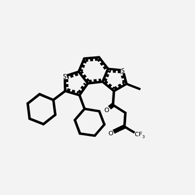 Cc1sc2ccc3sc(C4CCCCC4)c(C4CCCCC4)c3c2c1C(=O)CC(=O)C(F)(F)F